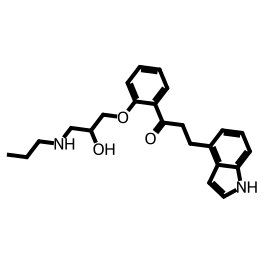 CCCNCC(O)COc1ccccc1C(=O)CCc1cccc2[nH]ccc12